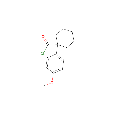 COc1ccc(C2(C(=O)Cl)CCCCC2)cc1